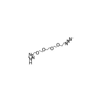 [N-]=[N+]=NCCOCCOCCOCCOCc1nc[nH]n1